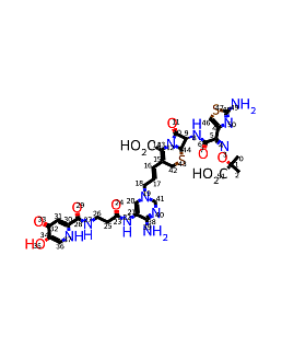 CC(C)(O/N=C(\C(=O)N[C@@H]1C(=O)N2C(C(=O)O)=C(/C=C/CN3C=C(NC(=O)CCNC(=O)c4cc(=O)c(O)c[nH]4)C(N)=NC3)CSC12)c1csc(N)n1)C(=O)O